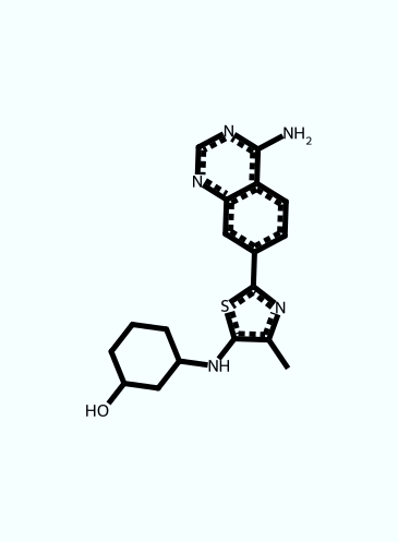 Cc1nc(-c2ccc3c(N)ncnc3c2)sc1NC1CCCC(O)C1